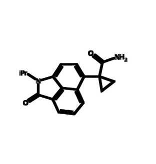 CC(C)N1C(=O)c2cccc3c(C4(C(N)=O)CC4)ccc1c23